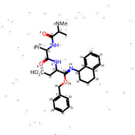 CNC(C)C(=O)NC(C(=O)NC(CC(=O)O)C(=NC1CCCc2ccccc21)OCc1ccccc1)C(C)C